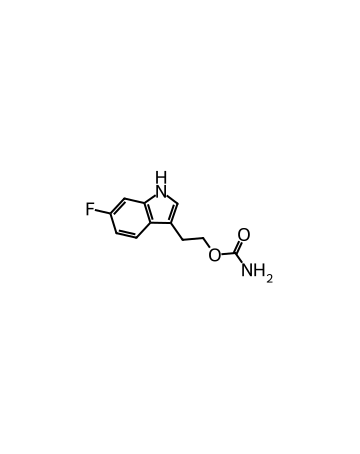 NC(=O)OCCc1c[nH]c2cc(F)ccc12